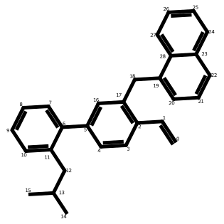 C=Cc1ccc(-c2ccccc2CC(C)C)cc1Cc1cccc2ccccc12